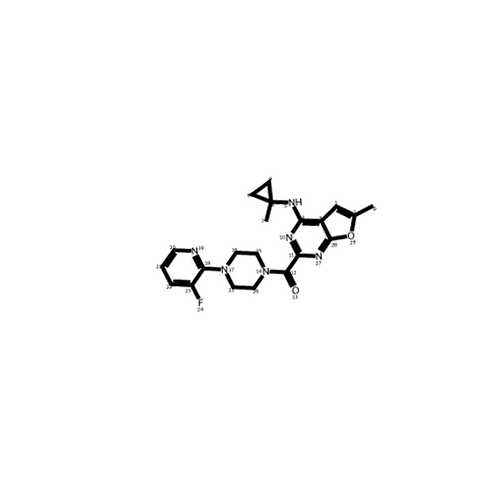 Cc1cc2c(NC3(C)CC3)nc(C(=O)N3CCN(c4ncccc4F)CC3)nc2o1